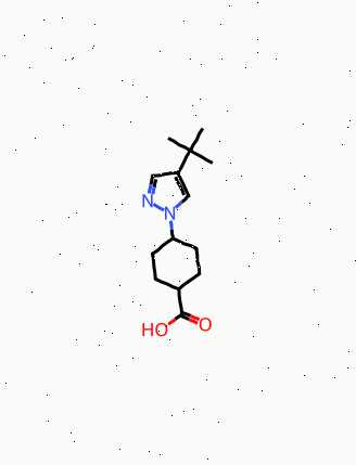 CC(C)(C)c1cnn(C2CCC(C(=O)O)CC2)c1